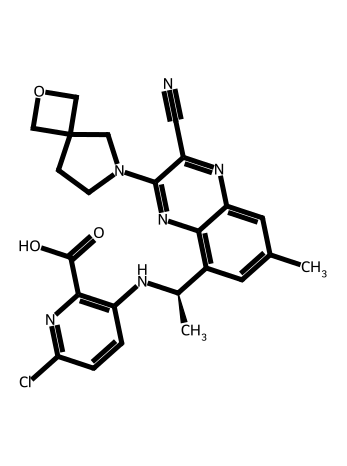 Cc1cc([C@@H](C)Nc2ccc(Cl)nc2C(=O)O)c2nc(N3CCC4(COC4)C3)c(C#N)nc2c1